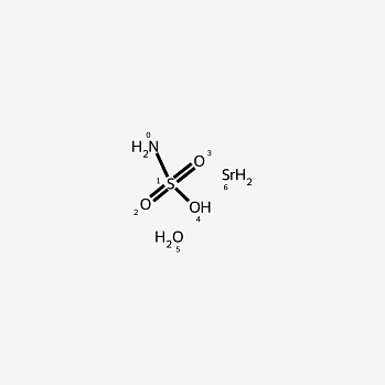 NS(=O)(=O)O.O.[SrH2]